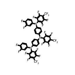 Fc1ccc(N(c2ccc(N(c3ccc(N(c4ccc(F)c(F)c4)c4c(F)c(F)c(C(F)(F)F)c(F)c4F)cc3)c3c(F)c(F)c(C(F)(F)F)c(F)c3F)cc2)c2c(F)c(F)c(C(F)(F)F)c(F)c2F)cc1F